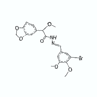 COc1cc(/C=N/NC(=O)C(OC)c2ccc3c(c2)OCO3)cc(Br)c1OC